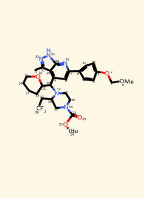 COCOc1ccc(-c2cc(C(C3CCCCO3)N3CCN(C(=O)OC(C)(C)C)CC3CC(F)(F)F)c3c(C)n[nH]c3n2)cc1